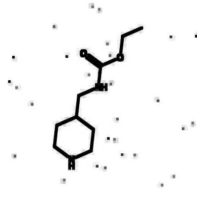 CCOC(=O)NCC1CCNCC1